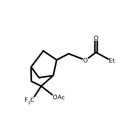 CCC(=O)OCC1CC2CC1C(OC(C)=O)(C(F)(F)F)C2